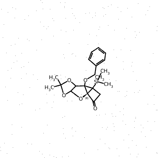 CC1(C)OC2O[C@]34C(=O)CC3([Si](C)(C)C)C4(OCc3ccccc3)C2O1